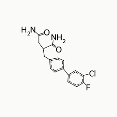 NC(=O)CC(Cc1ccc(-c2ccc(F)c(Cl)c2)cc1)C(N)=O